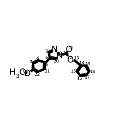 COc1ccc(-c2cnn(C(=O)OCc3ccccc3)c2)cc1